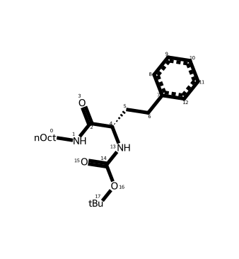 CCCCCCCCNC(=O)[C@H](CCc1ccccc1)NC(=O)OC(C)(C)C